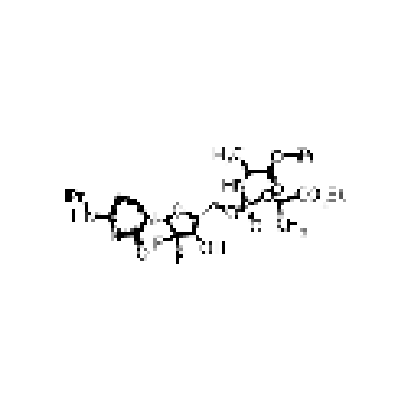 CCOC(=O)C(C)OP(=O)(NC(C)C(=O)OC(C)C)OC[C@H]1O[C@@H](n2ccc(NC(C)C)nc2=O)C(F)(F)[C@@H]1O